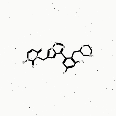 CCn1ccc(=O)n(Cc2cc3c(-c4cc(Cl)cc(C)c4CC4CNCCO4)ncnn3c2)c1=O